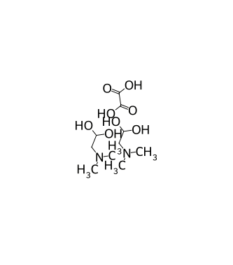 CN(C)CC(O)O.CN(C)CC(O)O.O=C(O)C(=O)O